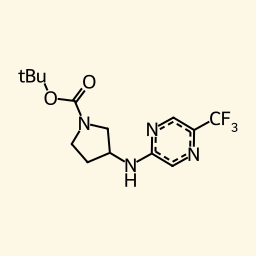 CC(C)(C)OC(=O)N1CCC(Nc2cnc(C(F)(F)F)cn2)C1